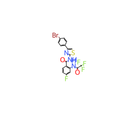 O=C(Nc1nc(-c2ccc(Br)cc2)cs1)c1ccc(F)cc1NC(=O)C(F)(F)F